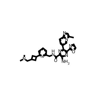 Cc1cnc2ccc(-c3nc(C(=O)NCc4cccc(C5CC(CN(C)C)C5)n4)c(N)nc3-c3ncco3)cn12